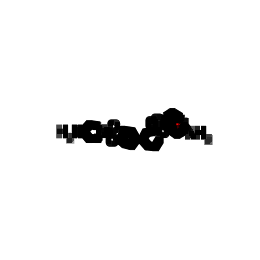 NC1CCN(C(=O)Oc2ccc(C3CCC[C@]4(C3)OOC3(O4)C4CC5CC3CC(N)(C5)C4)cc2)CC1